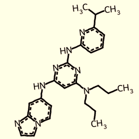 CCCN(CCC)c1cc(Nc2ccn3ccnc3c2)nc(Nc2cccc(C(C)C)n2)n1